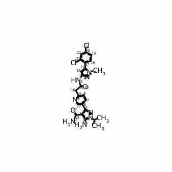 CC(C)n1nc(-c2ccc(CC(=O)Nc3cc(-c4ccc(Cl)cc4Cl)n(C)n3)nc2)c(C(N)=O)c1N